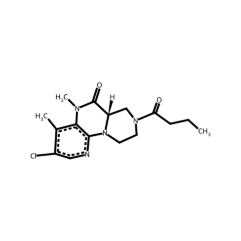 CCCC(=O)N1CCN2c3ncc(Cl)c(C)c3N(C)C(=O)[C@@H]2C1